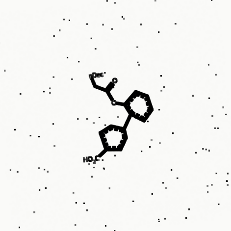 CCCCCCCCCCCC(=O)Oc1ccccc1-c1ccc(C(=O)O)cc1